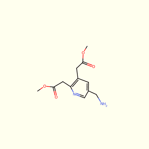 COC(=O)Cc1cc(CN)cnc1CC(=O)OC